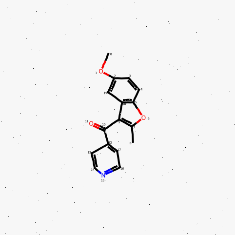 COc1ccc2oc(C)c(C(=O)c3ccncc3)c2c1